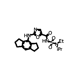 CCN(C(C)C)S(=O)(=O)NC(=O)c1cnc(Nc2c3c(cc4c2CCC4)CCC3)o1